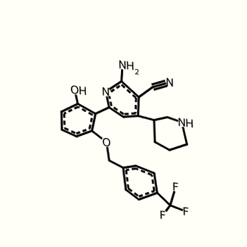 N#Cc1c(C2CCCNC2)cc(-c2c(O)cccc2OCc2ccc(C(F)(F)F)cc2)nc1N